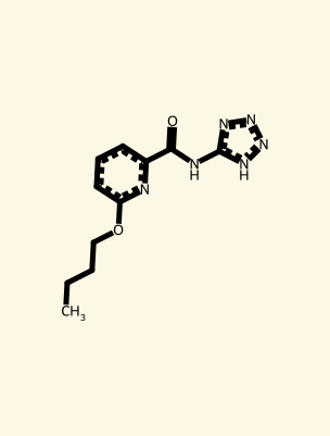 CCCCOc1cccc(C(=O)Nc2nnn[nH]2)n1